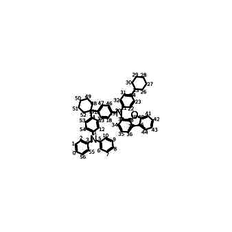 c1ccc(N(c2ccccc2)c2ccc(C3(c4ccc(N(c5ccc(C6CCCCC6)cc5)c5cccc6c5oc5ccccc56)cc4)CCCCC3)cc2)cc1